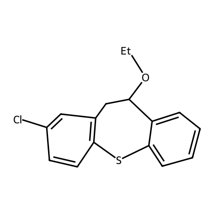 [CH2]COC1Cc2cc(Cl)ccc2Sc2ccccc21